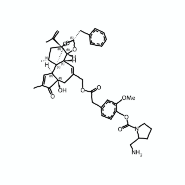 C=C(C)[C@]12C[C@@H](C)[C@@]34O[C@](Cc5ccccc5)(O[C@@H]1[C@@H]3C=C(COC(=O)Cc1ccc(OC(=O)N3CCCC3CN)c(OC)c1)C[C@]1(O)C(=O)C(C)=C[C@@H]41)O2